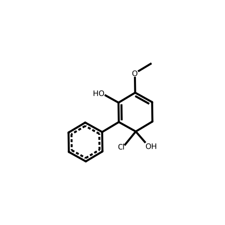 COC1=CCC(O)(Cl)C(c2ccccc2)=C1O